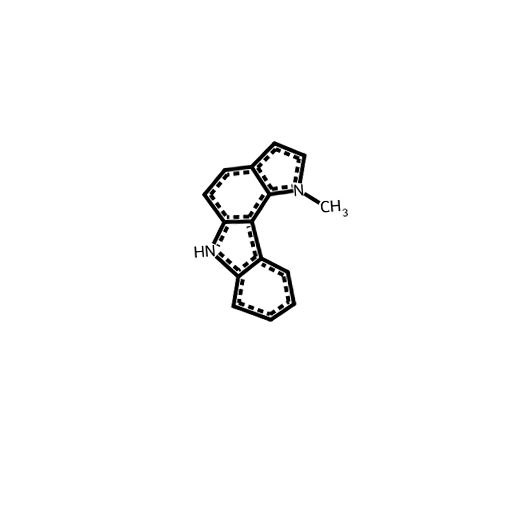 Cn1ccc2ccc3[nH]c4ccccc4c3c21